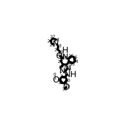 COc1cc(Nc2ncc3c(n2)-c2ccccc2NC(OCCCN2CCCC2)C3)cc(OC)c1